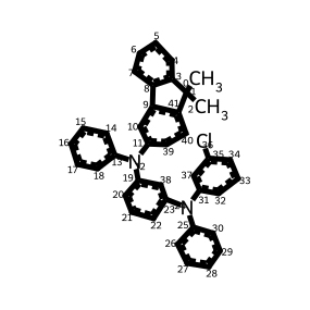 CC1(C)c2ccccc2-c2cc(N(c3ccccc3)c3cccc(N(c4ccccc4)c4cccc(Cl)c4)c3)ccc21